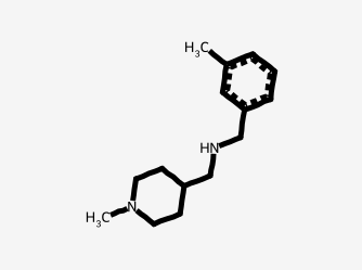 Cc1cccc(CNCC2CCN(C)CC2)c1